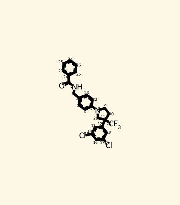 O=C(NCc1ccc(N2CCC(c3cc(Cl)cc(Cl)c3)(C(F)(F)F)C2)cc1)c1ccccc1